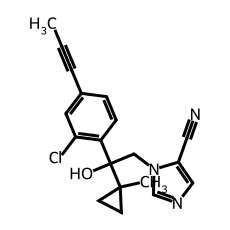 CC#Cc1ccc(C(O)(Cn2cncc2C#N)C2(C)CC2)c(Cl)c1